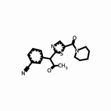 CC(=O)C(c1cccc(C#N)c1)c1ncc(C(=O)N2CCCCC2)s1